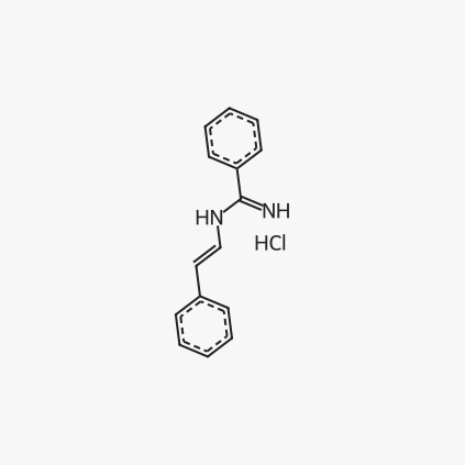 Cl.N=C(NC=Cc1ccccc1)c1ccccc1